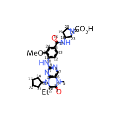 CC[C@@H]1C(=O)N(C)c2cnc(Nc3ccc(C(=O)NC4CCN(C(=O)O)C4)cc3OC)nc2N1C1CCCC1